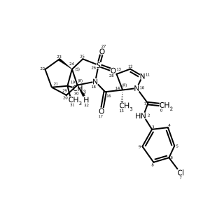 C=C(Nc1ccc(Cl)cc1)N1N=CC[C@]1(C)C(=O)N1[C@@H]2CC3CC[C@]2(CS1(=O)=O)C3(C)C